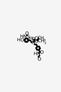 CC(C)(C)OC(=O)N(CCc1ccc(C(=O)NCC=O)cc1)CCc1ccc(O)c2[nH]c(=O)sc12